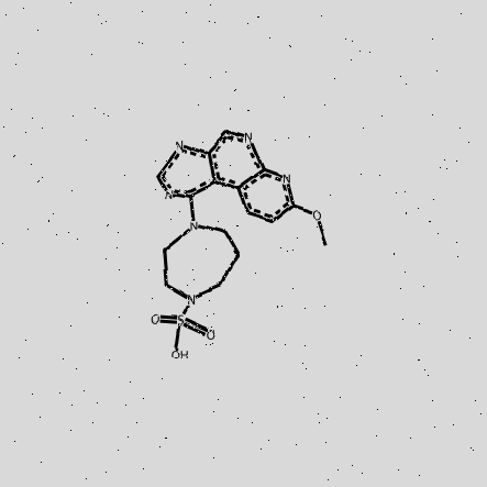 COc1ccc2c(ncc3ncnc(N4CCCN(S(=O)(=O)O)CC4)c32)n1